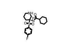 O=C(N[C@@]1(S(=O)(=O)c2ccc(F)cc2)CCCNC1)C1CCCCC1